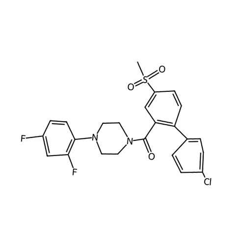 CS(=O)(=O)c1ccc(-c2ccc(Cl)cc2)c(C(=O)N2CCN(c3ccc(F)cc3F)CC2)c1